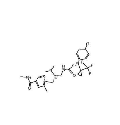 CNC(=O)c1ccc(C[C@@H](CNC(=O)C[C@H](c2ccc(Cl)cc2)C2(C(F)(F)F)CC2)N(C)C)c(C)c1